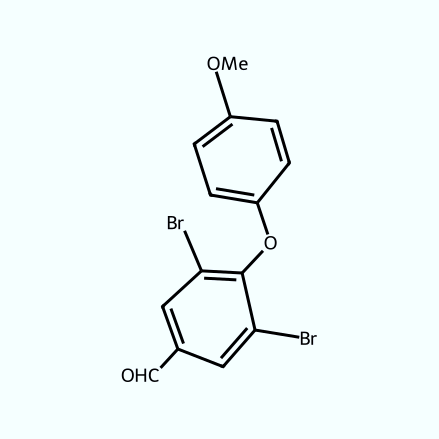 COc1ccc(Oc2c(Br)cc(C=O)cc2Br)cc1